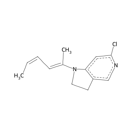 C/C=C\C=C(/C)N1CCc2cnc(Cl)cc21